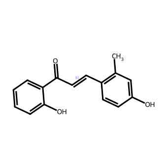 Cc1cc(O)ccc1/C=C/C(=O)c1ccccc1O